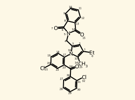 CCc1cc(CN2C(=O)c3ccccc3C2=O)n(-c2ccc(Cl)cc2C(=O)c2ccccc2Cl)c1C